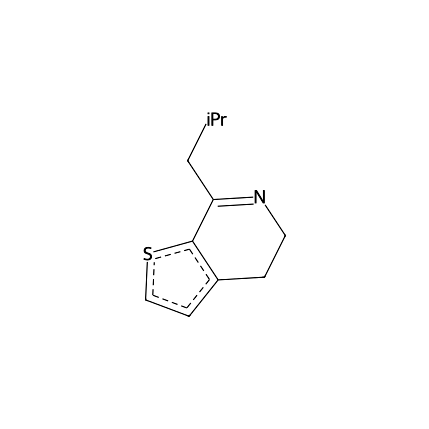 CC(C)CC1=NCCc2ccsc21